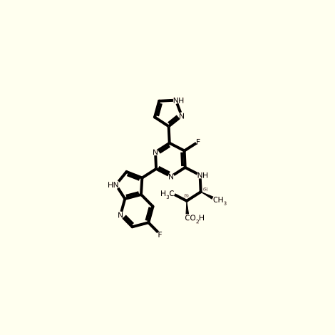 C[C@H](Nc1nc(-c2c[nH]c3ncc(F)cc23)nc(-c2cc[nH]n2)c1F)[C@H](C)C(=O)O